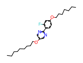 CCCCCCCCCOc1cnc(-c2ccc(OCCCCCCC)cc2F)nc1